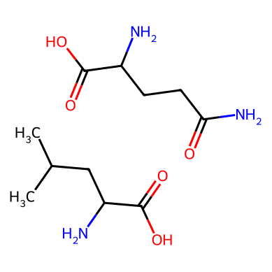 CC(C)CC(N)C(=O)O.NC(=O)CCC(N)C(=O)O